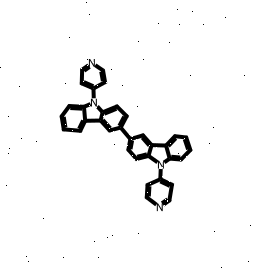 c1ccc2c(c1)c1cc(-c3ccc4c(c3)c3ccccc3n4-c3ccncc3)ccc1n2-c1ccncc1